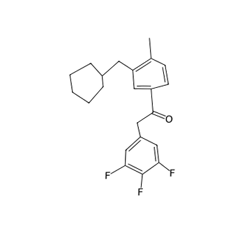 Cc1ccc(C(=O)Cc2cc(F)c(F)c(F)c2)cc1CC1CCCCC1